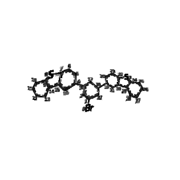 Brc1cc(-c2ccc3sc4ccccc4c3c2)cc(-c2ccc3sc4ccccc4c3c2)c1